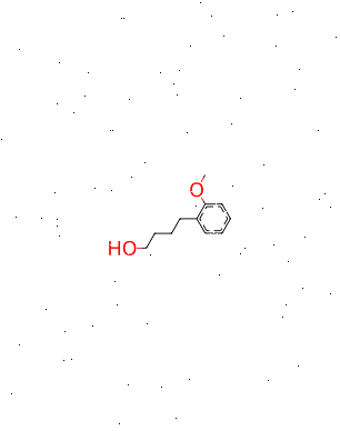 COc1ccccc1CCCCO